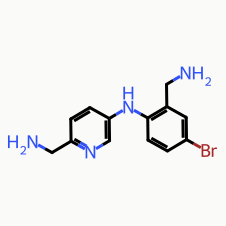 NCc1ccc(Nc2ccc(Br)cc2CN)cn1